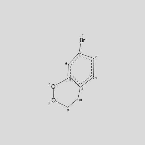 Brc1c[c]c2c(c1)OOCC2